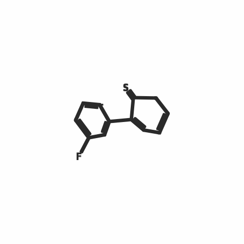 Fc1cc[c]c(C2=CC=CCC2=S)c1